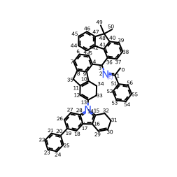 C/C(=N\C(c1cccc2c1C1=C(C=C(n3c4c(c5cc(-c6ccccc6)ccc53)C=CCC4)CC1)C2)c1cccc2c1-c1ccccc1C2(C)C)c1ccccc1